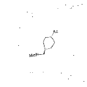 CNC[C@H]1CC[C@H](C(C)=O)CC1